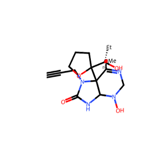 C#CCN1C(=O)NC2N(O)CN=C(OC)C21C1([C@@H](O)CC)CCCO1